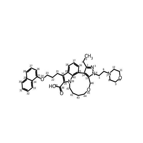 CCc1nn(CCN2CCOCC2)c2c1-c1cccc3c(CCCOc4cccc5ccccc45)c(C(=O)O)n(c13)CCCCOC2